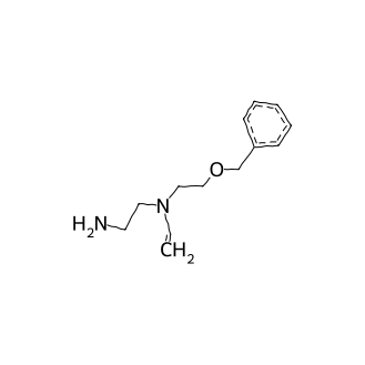 C=CN(CCN)CCOCc1ccccc1